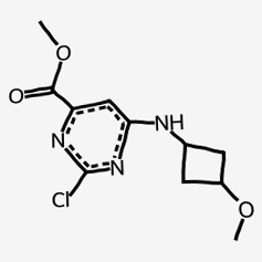 COC(=O)c1cc(NC2CC(OC)C2)nc(Cl)n1